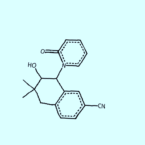 CC1(C)Cc2ccc(C#N)cc2C(n2ccccc2=O)C1O